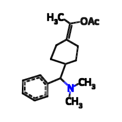 CC(=O)OC(C)=C1CCC(C(c2ccccc2)N(C)C)CC1